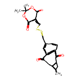 CC1C2C(=O)c3ccc(CSSC=C4C(=O)OC(C)(C)OC4=O)cc3C(=O)C12